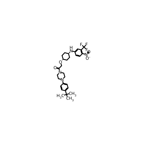 CC(C)(C)c1ccc(N2CCN(C(=O)CO[C@H]3CC[C@H](Nc4ccc([N+](=O)[O-])c(C(F)(F)F)c4)CC3)CC2)cc1